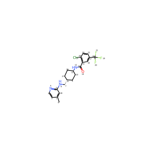 Cc1ccnc(NC[C@H]2CC[C@H](NC(=O)c3cc(C(F)(F)F)ccc3Cl)CC2)c1